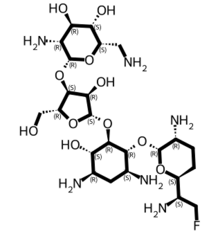 NC[C@@H]1O[C@H](O[C@H]2[C@@H](O)[C@H](O[C@@H]3[C@@H](O)[C@H](N)C[C@H](N)[C@H]3O[C@H]3O[C@H]([C@H](N)CF)CC[C@H]3N)O[C@@H]2CO)[C@H](N)[C@@H](O)[C@@H]1O